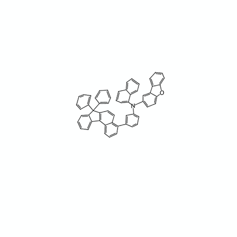 c1ccc(C2(c3ccccc3)c3ccccc3-c3c2ccc2c(-c4cccc(N(c5ccc6oc7ccccc7c6c5)c5cccc6ccccc56)c4)cccc32)cc1